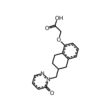 O=C(O)COc1cccc2c1CCC(Cn1ncccc1=O)C2